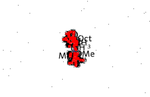 CCCCCCCCOc1c(O[C@@H]2O[C@H](COC(=O)c3ccccc3)[C@@H](OC(=O)c3ccccc3)[C@H](OC(=O)c3ccccc3)[C@H]2OC(=O)c2ccccc2)c2ccc(NC(=O)/C=C/c3cc(OC)c(O[C@@H]4O[C@H](COC(=O)c5ccccc5)[C@@H](OC(=O)c5ccccc5)[C@H](OC(=O)c5ccccc5)[C@H]4OC(=O)c4ccccc4)c(OC)c3)cc2n(C)c1=O